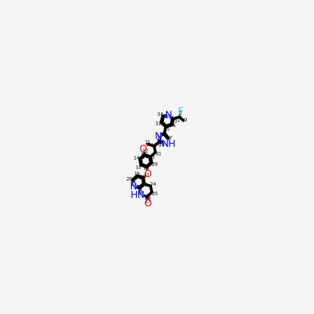 CC(F)c1cc(-c2c[nH]c(C3COc4ccc(Oc5ccnc6c5CCC(=O)N6)cc4C3)n2)ccn1